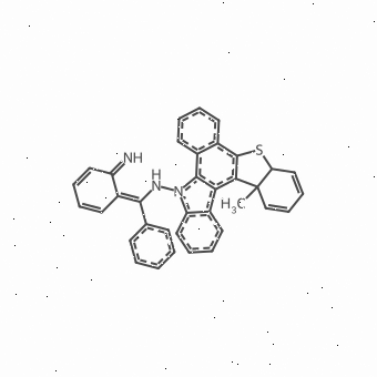 CC12C=CC=CC1Sc1c2c2c3ccccc3n(N/C(=C3/C=CC=CC3=N)c3ccccc3)c2c2ccccc12